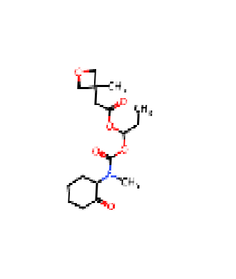 CCC(OC(=O)CC1(C)COC1)OC(=O)N(C)C1CCCCC1=O